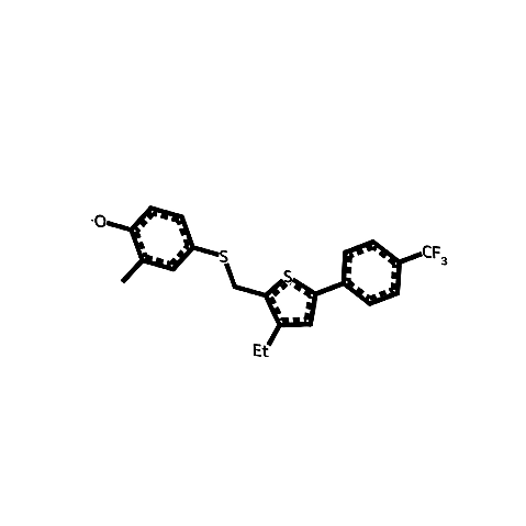 CCc1cc(-c2ccc(C(F)(F)F)cc2)sc1CSc1ccc([O])c(C)c1